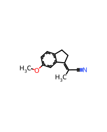 COc1ccc2c(c1)/C(=C(\C)C#N)CC2